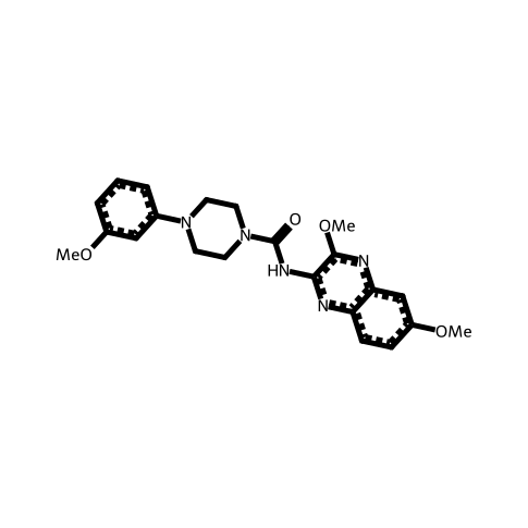 COc1cccc(N2CCN(C(=O)Nc3nc4ccc(OC)cc4nc3OC)CC2)c1